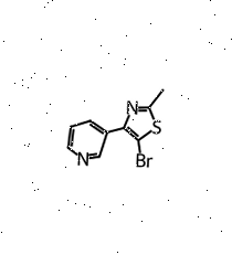 Cc1nc(-c2cccnc2)c(Br)s1